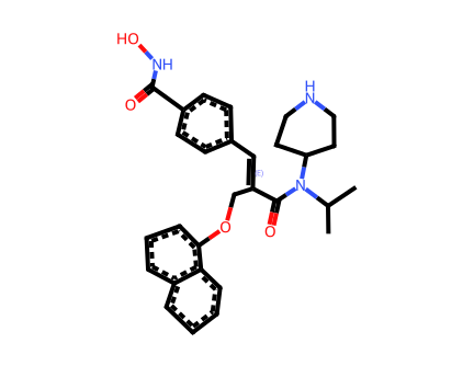 CC(C)N(C(=O)/C(=C/c1ccc(C(=O)NO)cc1)COc1cccc2ccccc12)C1CCNCC1